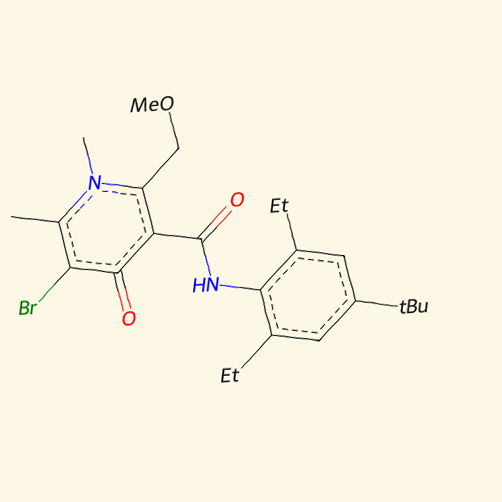 CCc1cc(C(C)(C)C)cc(CC)c1NC(=O)c1c(COC)n(C)c(C)c(Br)c1=O